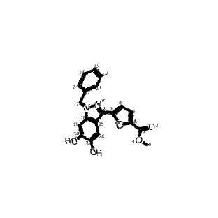 COC(=O)c1ccc(-c2nn(Cc3ccccc3)c3cc(O)c(O)cc23)o1